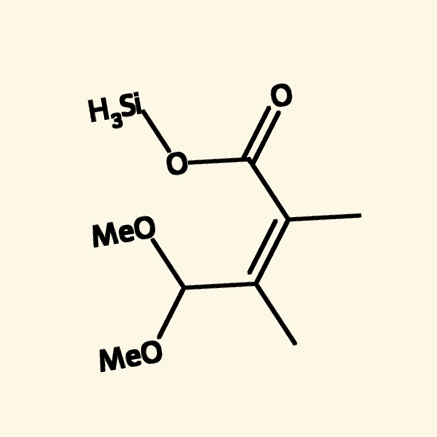 COC(OC)C(C)=C(C)C(=O)O[SiH3]